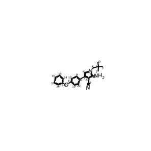 CC(C)(C)Cn1cc(-c2ccc(Oc3ccccc3)cc2)c(C#N)c1N